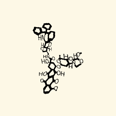 COc1cccc2c1C(=O)c1c(O)c3c(c(O)c1C2=O)C[C@@](O)(C(=O)NC[C@H]1CO[C@H]2[C@@H]1OC[C@@H]2NC(c1ccccc1)(c1ccccc1)c1ccccc1)C[C@@H]3O[C@H]1C[C@H]2[C@H](O[C@@H]3[C@@H](OC)OCCN32)[C@H](C)O1